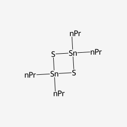 CC[CH2][Sn]1([CH2]CC)[S][Sn]([CH2]CC)([CH2]CC)[S]1